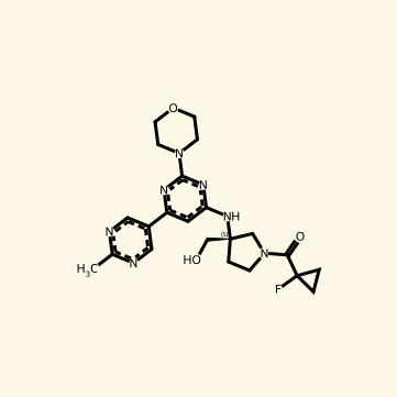 Cc1ncc(-c2cc(N[C@@]3(CO)CCN(C(=O)C4(F)CC4)C3)nc(N3CCOCC3)n2)cn1